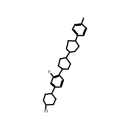 CCC1CCC(c2ccc(C3CCC(C4CCC(c5ccc(C)cc5)CC4)CC3)c(F)c2)CC1